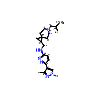 Cc1nn(C)cc1-c1ccc(NCC2CC23CCN(CC(C)C(C)(C)C)CC3)nn1